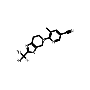 [2H]C([2H])([2H])c1nc2c(s1)CN(c1ncc(C#N)cc1C)CC2